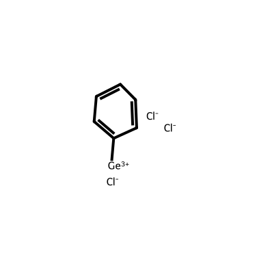 [Cl-].[Cl-].[Cl-].[Ge+3][c]1ccccc1